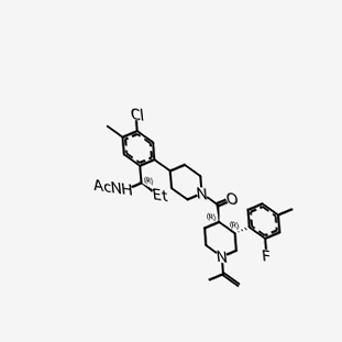 C=C(C)N1CC[C@@H](C(=O)N2CCC(c3cc(Cl)c(C)cc3[C@@H](CC)NC(C)=O)CC2)[C@H](c2ccc(C)cc2F)C1